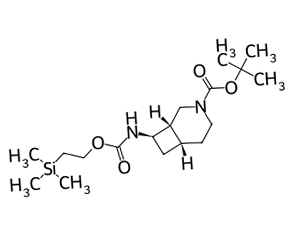 CC(C)(C)OC(=O)N1CC[C@@H]2C[C@@H](NC(=O)OCC[Si](C)(C)C)[C@@H]2C1